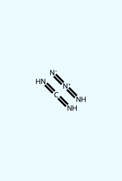 N=C=N.[N-]=[N+]=N